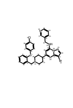 Clc1ccc(Sc2ccccc2CN2CCC(c3cc(NCc4cccnc4)n4ncc(Br)c4n3)CC2)cc1